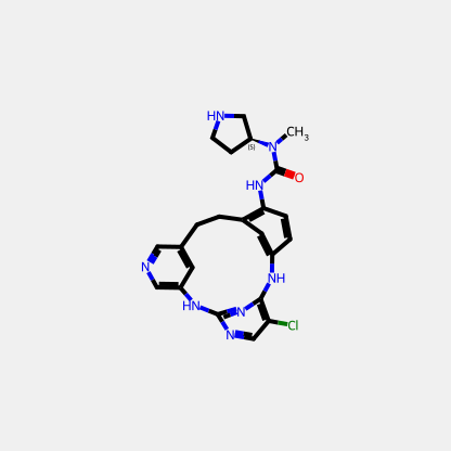 CN(C(=O)Nc1ccc2cc1CCc1cncc(c1)Nc1ncc(Cl)c(n1)N2)[C@H]1CCNC1